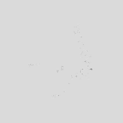 COCCOCCOCC(=O)NCCCC[C@H](NC(=O)COCCOCCOC)C(=O)N1CCC[C@H]1C(=O)ONC(=O)Cc1ccc(CCCCc2ccccc2)cc1